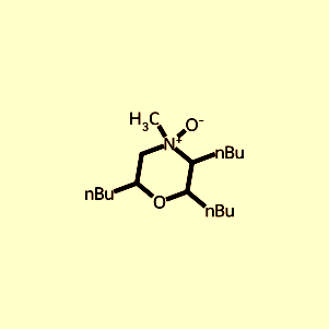 CCCCC1C[N+](C)([O-])C(CCCC)C(CCCC)O1